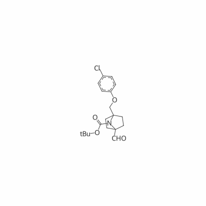 CC(C)(C)OC(=O)N1C2(C=O)CCC1(COc1ccc(Cl)cc1)CC2